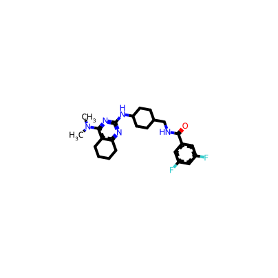 CN(C)c1nc(NC2CCC(CNC(=O)c3cc(F)cc(F)c3)CC2)nc2c1CCCC2